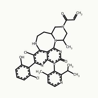 C=CC(=O)N1CC(C)N2c3nc(=O)n(-c4c(C)ccnc4C(C)C)c4nc(-c5c(O)cccc5Cl)c(Cl)c(c34)NCCC2C1